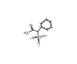 CC(=O)C(c1ccccc1)S(=O)(=O)Cl